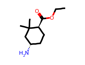 CCOC(=O)[C@H]1CC[C@H](N)CC1(C)C